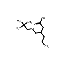 CCCC([CH2][Cr][CH2]C(C)(C)C)CC(=O)O